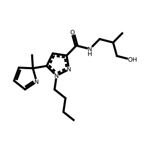 CCCCn1nc(C(=O)NCC(C)CO)cc1C1(C)C=CC=N1